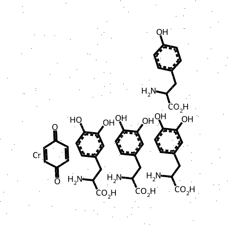 NC(Cc1ccc(O)c(O)c1)C(=O)O.NC(Cc1ccc(O)c(O)c1)C(=O)O.NC(Cc1ccc(O)c(O)c1)C(=O)O.NC(Cc1ccc(O)cc1)C(=O)O.O=C1C=CC(=O)C=C1.[Cr]